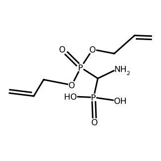 C=CCOP(=O)(OCC=C)C(N)P(=O)(O)O